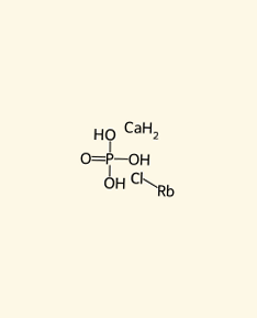 O=P(O)(O)O.[CaH2].[Cl][Rb]